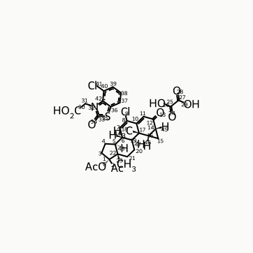 CC(=O)O[C@]1(C(C)=O)CC[C@H]2[C@@H]3C=C(Cl)C4=CC(=O)[C@@H]5C[C@@H]5[C@]4(C)[C@H]3CC[C@@]21C.O=C(O)C(=O)O.O=C(O)Cn1c(=O)sc2cccc(Cl)c21